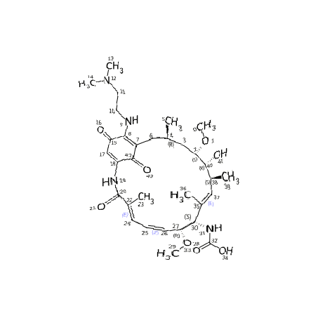 CO[C@H]1C[C@H](C)CC2=C(NCCN(C)C)C(=O)C=C(NC(=O)/C(C)=C/C=C\[C@@H](OC)[C@@H](NC(=O)O)/C(C)=C/[C@H](C)[C@H]1O)C2=O